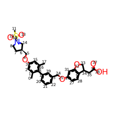 Cc1cc(OC[C@H]2CCN(S(C)(=O)=O)C2)cc(C)c1-c1cccc(COc2ccc3c(c2)OCC3CC(=O)O)c1